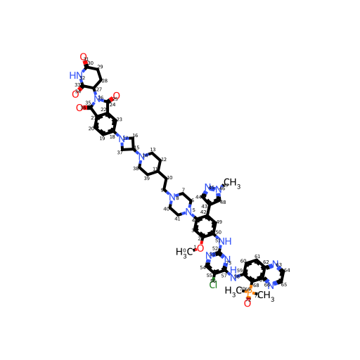 COc1cc(N2CCN(CCC3CCN(C4CN(c5ccc6c(c5)C(=O)N(C5CCC(=O)NC5=O)C6=O)C4)CC3)CC2)c(-c2cnn(C)c2)cc1Nc1ncc(Cl)c(Nc2ccc3nccnc3c2P(C)(C)=O)n1